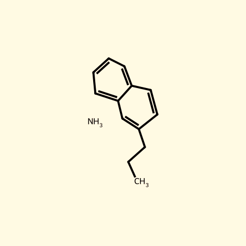 CCCc1ccc2ccccc2c1.N